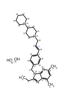 CCc1nc2c(C)cc(C)nc2n1Cc1ccc(/C=C/CN2CCC(N3CCCCC3)CC2)cc1.Cl.Cl